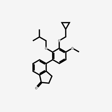 COc1ccc(-c2cccc3c2CCC3=O)c(OCC(C)C)c1OCC1CC1